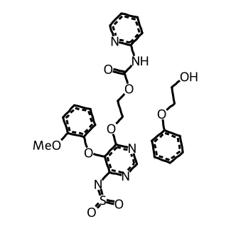 COc1ccccc1Oc1c(N=S(=O)=O)ncnc1OCCOC(=O)Nc1ccccn1.OCCOc1ccccc1